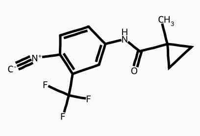 [C-]#[N+]c1ccc(NC(=O)C2(C)CC2)cc1C(F)(F)F